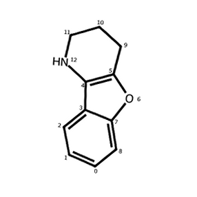 c1ccc2c3c(oc2c1)CCCN3